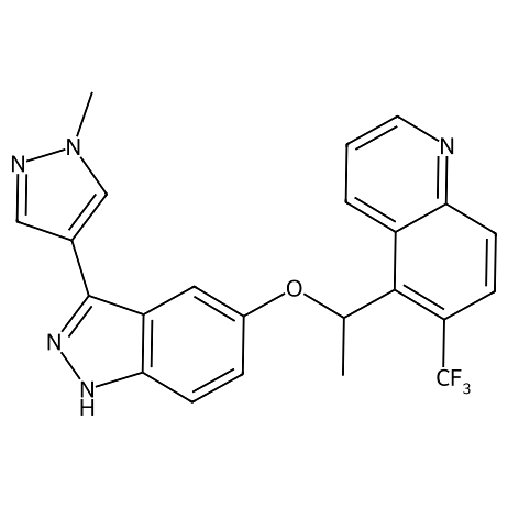 CC(Oc1ccc2[nH]nc(-c3cnn(C)c3)c2c1)c1c(C(F)(F)F)ccc2ncccc12